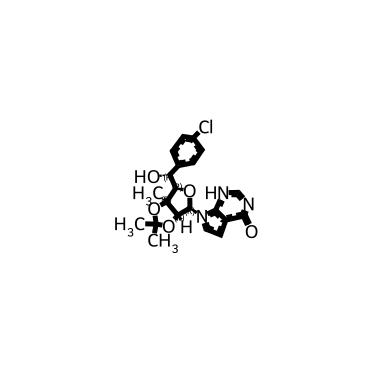 CC1(C)O[C@H]2[C@H](n3ccc4c(=O)nc[nH]c43)O[C@H]([C@H](O)c3ccc(Cl)cc3)[C@@]2(C)O1